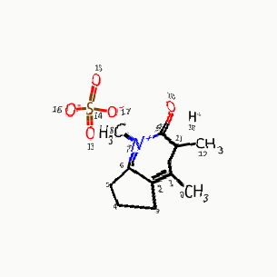 CC1=C2CCCC2=[N+](C)C(=O)C1C.O=S(=O)([O-])[O-].[H+]